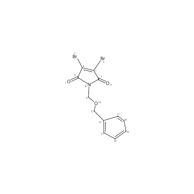 O=C1C(Br)=C(Br)C(=O)N1COCc1ccccc1